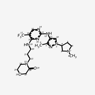 Cc1nn(C2CCN(C)C2)cc1Nc1ncc(C(F)(F)F)c(NCCCN2CCOCC2=O)n1